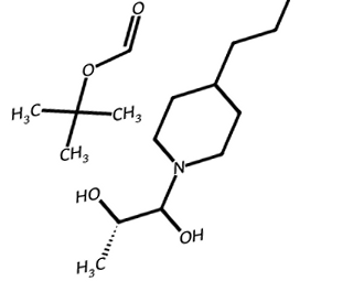 CC(C)(C)OC=O.C[C@H](O)C(O)N1CCC(CCO)CC1